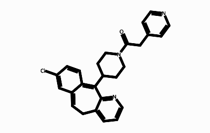 O=C(Cc1ccncc1)N1CCC(C2=c3ccc(Cl)cc3=CCc3cccnc32)CC1